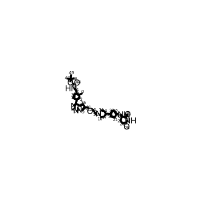 Cc1cc(-c2ncnn3cc(COCCN4CCC(c5ccc(NC6CCC(=O)NC6=O)cc5)CC4)cc23)ccc1CNC(=O)OC(C)(C)C